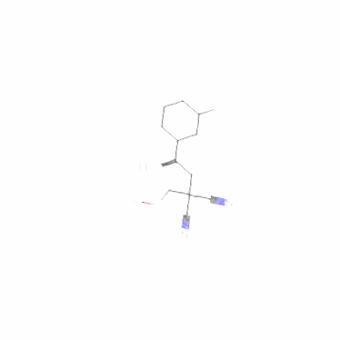 C=C(CC(C#N)(C#N)COC)C1CCCC(Cl)C1